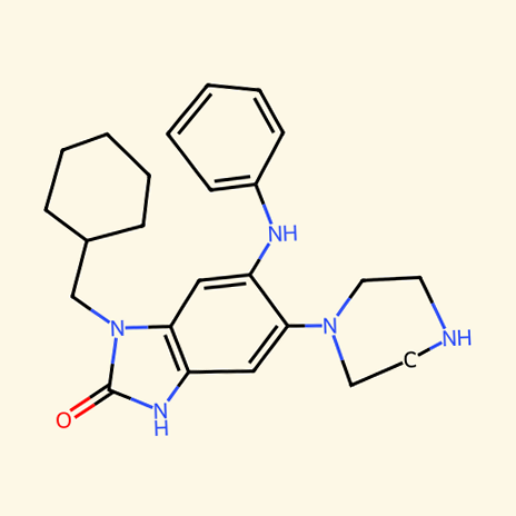 O=c1[nH]c2cc(N3CCNCC3)c(Nc3ccccc3)cc2n1CC1CCCCC1